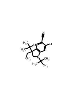 CCC1(C(C)(C)C)CN(C(C)(C)C)c2cc(Cl)c(C#N)cc21